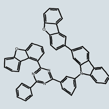 c1ccc(-c2nc(-c3cccc(-n4c5ccccc5c5ccc(-c6ccc7oc8ccccc8c7c6)cc54)c3)nc(-c3cccc4oc5ccccc5c34)n2)cc1